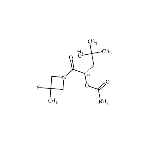 CC(C)(C)C[C@H](OC(N)=O)C(=O)N1CC(C)(F)C1